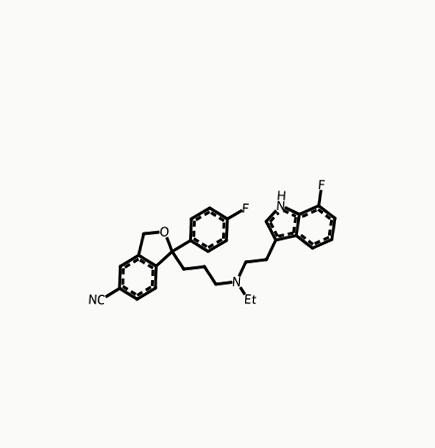 CCN(CCCC1(c2ccc(F)cc2)OCc2cc(C#N)ccc21)CCc1c[nH]c2c(F)cccc12